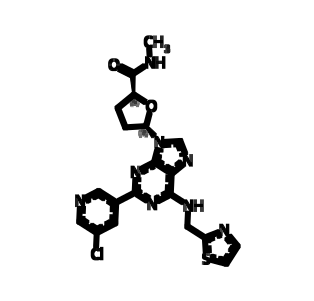 CNC(=O)[C@@H]1CC[C@H](n2cnc3c(NCc4nccs4)nc(-c4cncc(Cl)c4)nc32)O1